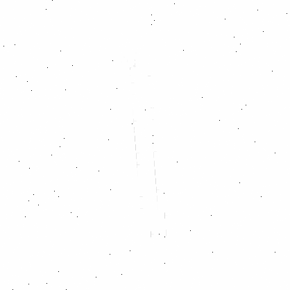 CO[Si](OC)(OC)C(F)C(F)(F)C(F)(F)C(F)(F)C(F)(F)C(F)(F)C(F)(F)C(F)(F)C(F)(F)C(F)(F)C(F)(F)C(F)(F)C(F)(F)C(F)(F)C(F)(F)C(F)(F)C(F)(F)C(F)C(F)C(F)F